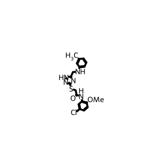 COc1ccc(Cl)cc1NC(=O)CSc1n[nH]c(CNc2cccc(C)c2)n1